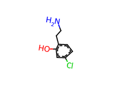 NCCc1ccc(Cl)cc1O